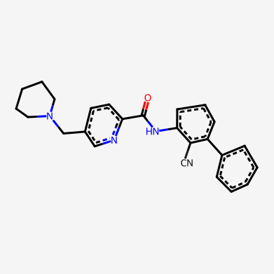 N#Cc1c(NC(=O)c2ccc(CN3CCCCC3)cn2)cccc1-c1ccccc1